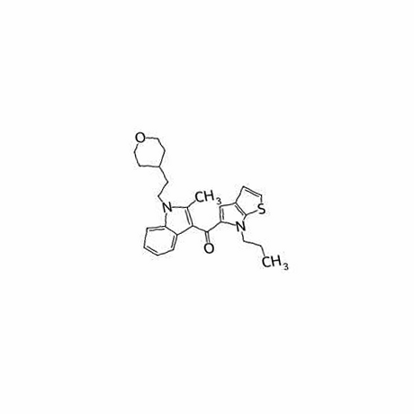 CCCn1c(C(=O)c2c(C)n(CCC3CCOCC3)c3ccccc23)cc2ccsc21